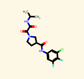 CC(C)NC(=O)C(=O)N1CCC(C(=O)Nc2cc(F)c(F)c(Cl)c2)C1